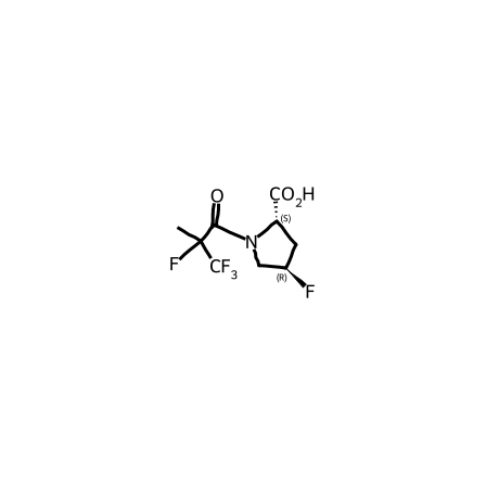 CC(F)(C(=O)N1C[C@H](F)C[C@H]1C(=O)O)C(F)(F)F